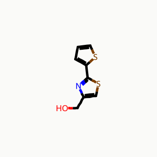 OCc1csc(-c2cccs2)n1